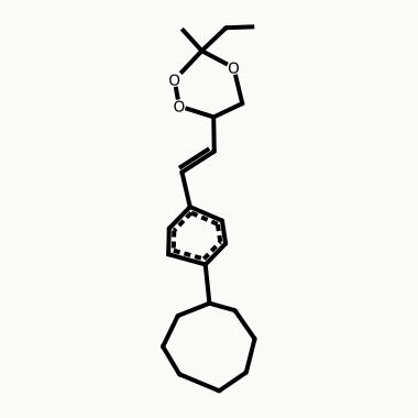 CCC1(C)OCC(C=Cc2ccc(C3CCCCCCC3)cc2)OO1